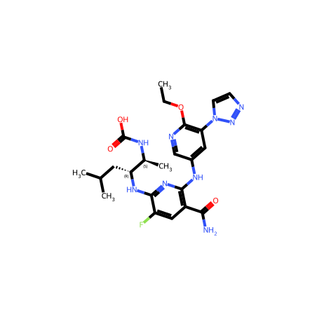 CCOc1ncc(Nc2nc(N[C@H](CC(C)C)[C@H](C)NC(=O)O)c(F)cc2C(N)=O)cc1-n1ccnn1